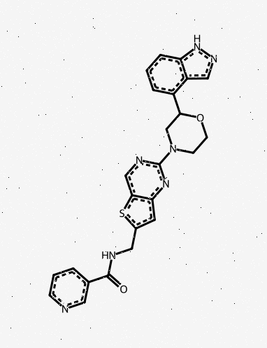 O=C(NCc1cc2nc(N3CCOC(c4cccc5[nH]ncc45)C3)ncc2s1)c1cccnc1